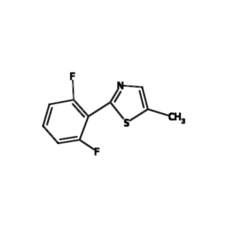 Cc1cnc(-c2c(F)cccc2F)s1